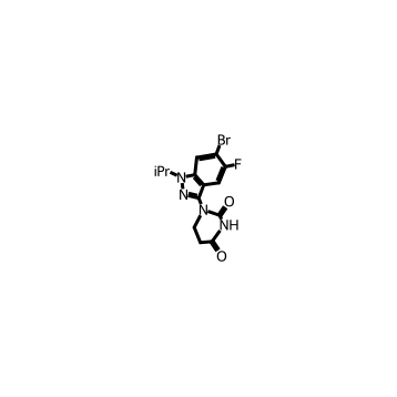 CC(C)n1nc(N2CCC(=O)NC2=O)c2cc(F)c(Br)cc21